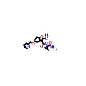 Cc1oc2ccc(OCc3ccccn3)cc2c1C(=O)NC1(C(N)=O)CC1